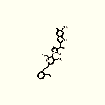 Cc1cc(CCc2ccccc2CI)nc(C)c1-n1ncc(C(=O)c2cc3cc(F)c(N)cc3[nH]2)c1N